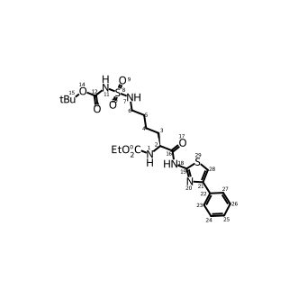 CCOC(=O)N[C@@H](CCCCNS(=O)(=O)NC(=O)OC(C)(C)C)C(=O)Nc1nc(-c2ccccc2)cs1